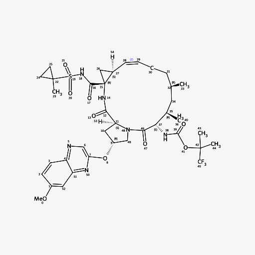 COc1ccc2ncc(O[C@@H]3C[C@H]4C(=O)N[C@]5(C(=O)NS(=O)(=O)C6(C)CC6)C[C@H]5/C=C\CC[C@@H](C)C[C@@H](C)[C@H](NC(=O)OC(C)(C)C(F)(F)F)C(=O)N4C3)nc2c1